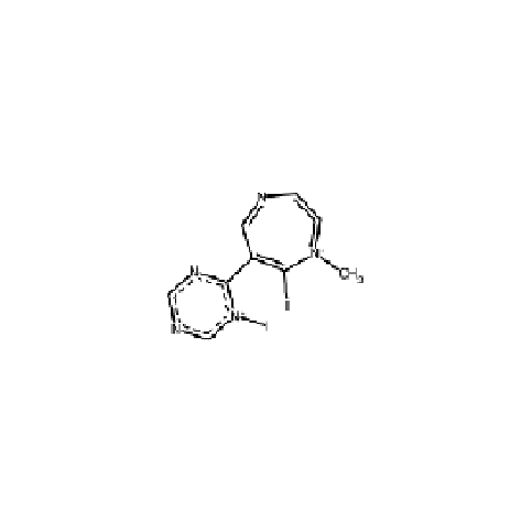 C[N+]1=C=CN=CC(c2ncnc[n+]2I)=C1I